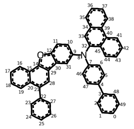 c1ccc(-c2ccc(N(c3ccc4oc5c6ccccc6c(-c6ccccc6)cc5c4c3)c3cc4ccccc4c4ccccc34)cc2)cc1